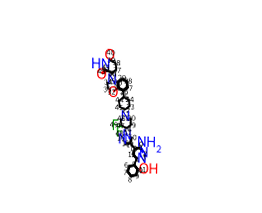 Nc1nnc(-c2ccccc2O)cc1-c1cnn(C2CCN(C3CCC(c4cccc5c4OCCN5[C@@H]4CCC(=O)NC4=O)CC3)CC2(F)F)c1